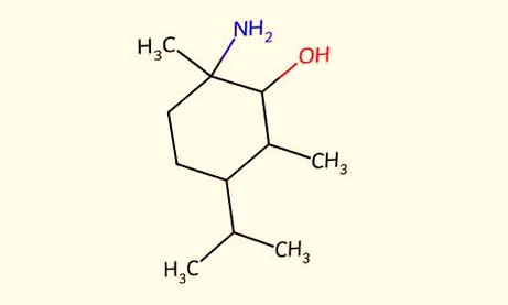 CC(C)C1CCC(C)(N)C(O)C1C